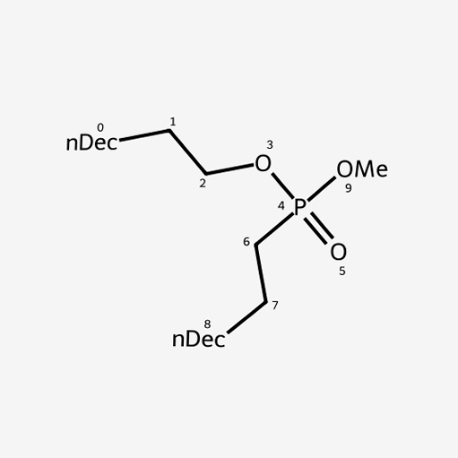 CCCCCCCCCCCCOP(=O)(CCCCCCCCCCCC)OC